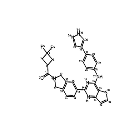 O=C(C1CC(F)(F)C1)N1Cc2ccc(-c3nc(Nc4ccc(-c5cn[nH]c5)cc4)c4sccc4n3)cc2C1